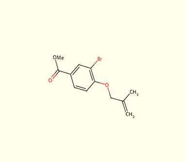 C=C(C)COc1ccc(C(=O)OC)cc1Br